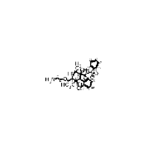 CCC1(C(=O)O)C(COCCN)NC(C)C(C)(C(=O)OS(=O)(=O)c2ccccc2)C1c1ccccc1Cl